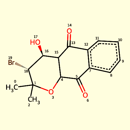 CC1(C)OC2C(=O)c3ccccc3C(=O)C2[C@H](O)[C@H]1Br